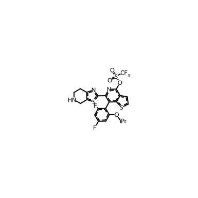 CC(C)Oc1cc(F)cc(F)c1-c1c(-c2nc3c(s2)CNCC3)nc(OS(=O)(=O)C(F)(F)F)c2ccsc12